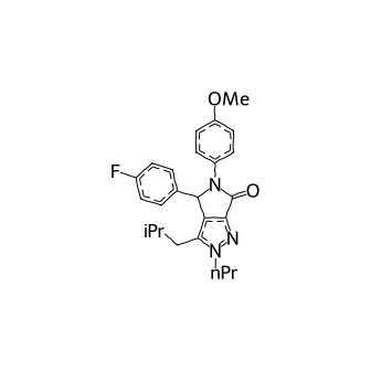 CCCn1nc2c(c1CC(C)C)C(c1ccc(F)cc1)N(c1ccc(OC)cc1)C2=O